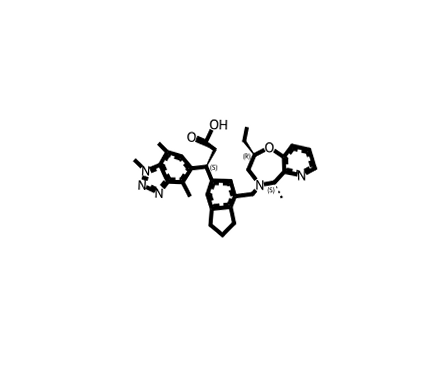 CC[C@@H]1CN(Cc2cc([C@H](CC(=O)O)c3cc(C)c4c(nnn4C)c3C)cc3c2CCC3)[C@@H](C)c2ncccc2O1